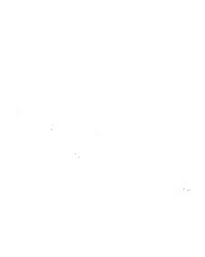 CCOc1cc(OC)ccc1C(C#N)(CCC(=O)O)CC(C)(C)C(=O)O